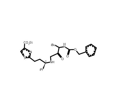 CCOC(=O)c1csc(CC[C@@H](NCC(=O)C(NC(=O)OCc2ccccc2)C(C)CC)C(C)C)n1